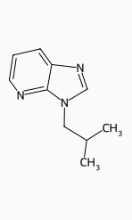 CC(C)Cn1cnc2cccnc21